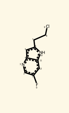 Fc1cnc2cc(CCCl)[nH]c2c1